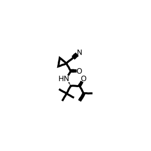 C=C(C)C(=O)[C@@H](NC(=O)C1(C#N)CC1)C(C)(C)C